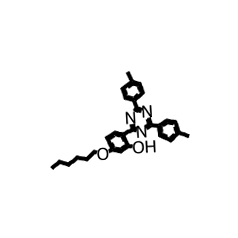 CCCCCCOc1ccc(-c2nc(-c3ccc(C)cc3)nc(-c3ccc(C)cc3)n2)c(O)c1